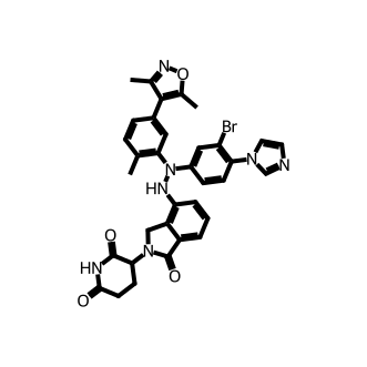 Cc1ccc(-c2c(C)noc2C)cc1N(Nc1cccc2c1CN(C1CCC(=O)NC1=O)C2=O)c1ccc(-n2ccnc2)c(Br)c1